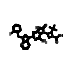 CC(C)(C)C1C(n2c(=O)[nH]c3nc(-c4nn(Cc5ccccc5F)c5ncccc45)nc(N)c32)CN1C(=O)O